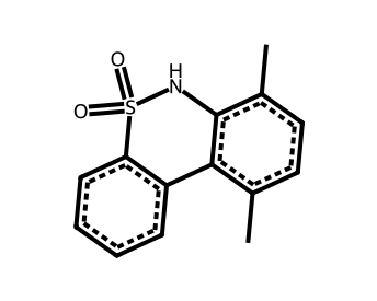 Cc1ccc(C)c2c1NS(=O)(=O)c1ccccc1-2